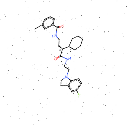 Cc1cccc(C(=O)NCC[C@H](C(=O)NCCN2CCc3cc(F)ccc32)C2CCCCC2)c1